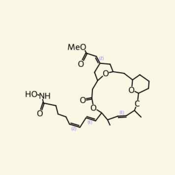 COC(=O)/C=C1\CC2CC(=O)OC(/C=C/C=C\CCCC(=O)NO)C(C)/C=C/C(C)CC3CCCC(CC(C1)O2)O3